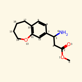 COC(=O)CC(N)c1ccc2c(c1)OCCCC2